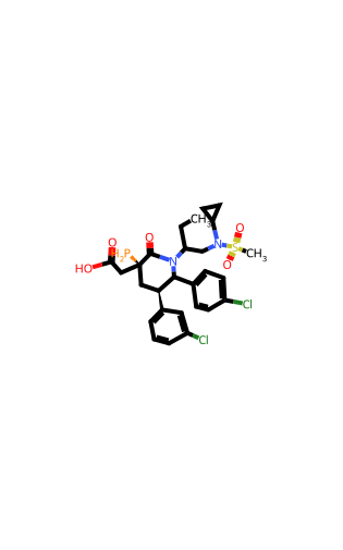 CCC(CN(C1CC1)S(C)(=O)=O)N1C(=O)[C@@](P)(CC(=O)O)C[C@H](c2cccc(Cl)c2)C1c1ccc(Cl)cc1